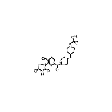 O=C(O)CN1CCC(CC2CCN(C(=O)c3ccc(Cl)c(N4CCC(=O)NC4=O)c3)CC2)CC1